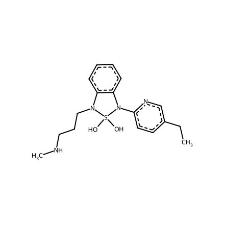 CCc1ccc(N2c3ccccc3N(CCCNC)S2(O)O)nc1